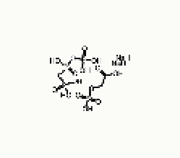 O=C(O)COS(=O)(=O)O.O=P(O)(O)OP(=O)(O)OP(=O)(O)O.[NaH].[NaH]